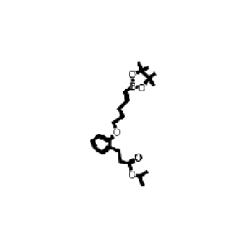 CC(C)OC(=O)CCc1ccccc1OCCC/C=C/B1OC(C)(C)C(C)(C)O1